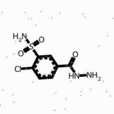 NNC(=O)c1ccc(Cl)c(S(N)(=O)=O)c1